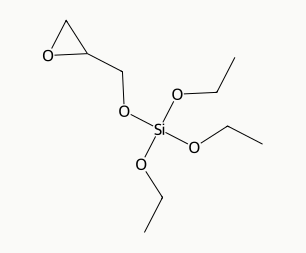 CCO[Si](OCC)(OCC)OCC1CO1